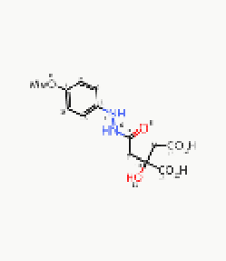 COc1ccc(NNC(=O)CC(O)(CC(=O)O)C(=O)O)cc1